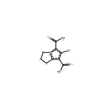 O=C(O)c1c(Cl)c(C(=O)O)n2c1CCC2